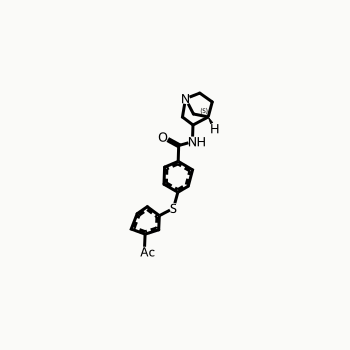 CC(=O)c1cccc(Sc2ccc(C(=O)NC3CN4CC[C@H]3C4)cc2)c1